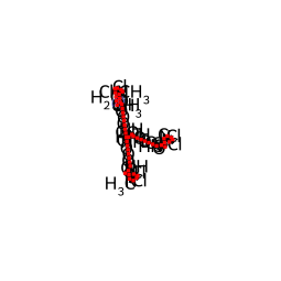 C=C(/C=C(\C=C/C)S(=O)(=O)NCCOCCOCCOCCNC(=O)c1cc(C(=O)NCCOCCOCCOCCNS(=O)(=O)c2cccc([C@@H]3CN(C)Cc4c(Cl)cc(Cl)cc43)c2)cc(C(=O)NCCOCCOCCOCCNS(=O)(=O)c2cccc([C@@H]3CN(C)Cc4c(Cl)cc(Cl)cc43)c2)c1)[C@@H]1CN(C)Cc2c(Cl)cc(Cl)cc21